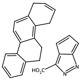 C1=CCc2c(ccc3c2CCc2ccccc2-3)C1.O=C(O)C1=C2C=CC=C2N=N1